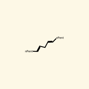 [CH2]CCCCC=CCC=CCCCCC